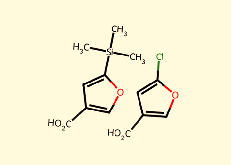 C[Si](C)(C)c1cc(C(=O)O)co1.O=C(O)c1coc(Cl)c1